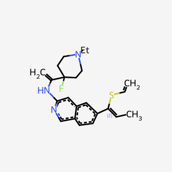 C=CS/C(=C\C)c1ccc2cnc(NC(=C)C3(F)CCN(CC)CC3)cc2c1